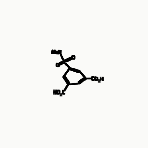 CNS(=O)(=O)c1cc(C(=O)O)cc(C(=O)O)c1